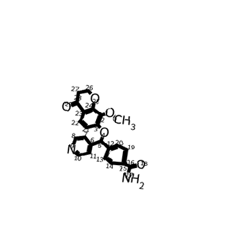 COc1c(OC(c2ccncc2)c2ccc(C(N)=O)cc2)ccc2c1OCCC2=O